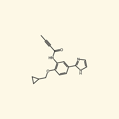 CC#CC(=O)Nc1cc(-c2ncc[nH]2)ccc1OCC1CC1